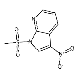 CS(=O)(=O)n1cc([N+](=O)[O-])c2cccnc21